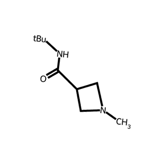 CN1CC(C(=O)NC(C)(C)C)C1